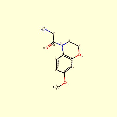 COc1ccc2c(c1)OCCN2C(=O)CN